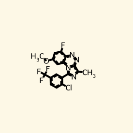 COc1cc(F)c2nnc3c(C)nc(-c4cc(C(F)(F)F)ccc4Cl)n3c2c1